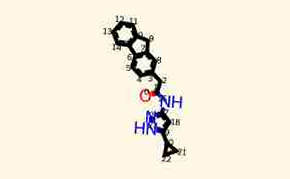 O=C(Cc1ccc2c(c1)Cc1ccccc1-2)Nc1cc(C2CC2)[nH]n1